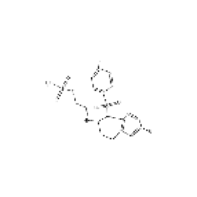 CS(=O)(=O)OCCNC1CCc2cc(Br)ccc2C1S(=O)(=O)c1ccc(F)cc1